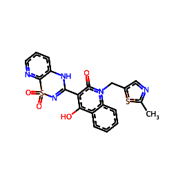 Cc1ncc(Cn2c(=O)c(C3=NS(=O)(=O)c4ncccc4N3)c(O)c3ccccc32)s1